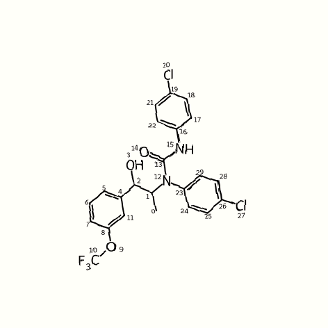 CC(C(O)c1cccc(OC(F)(F)F)c1)N(C(=O)Nc1ccc(Cl)cc1)c1ccc(Cl)cc1